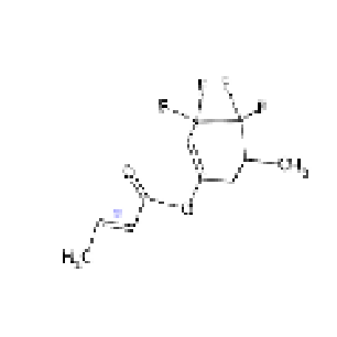 C/C=C/C(=O)OC1=CC(F)(F)C(F)(F)C(C)C1